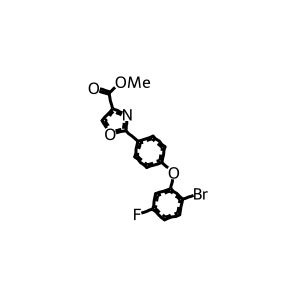 COC(=O)c1coc(-c2ccc(Oc3cc(F)ccc3Br)cc2)n1